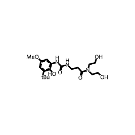 COc1cc(NC(=O)NCCC(=O)N(CCO)CCO)c(O)c(C(C)(C)C)c1